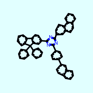 c1ccc(C2(c3ccccc3)c3ccccc3-c3ccc(-c4nc(-c5ccc(-c6ccc7ccccc7c6)cc5)nc(-c5ccc6c(ccc7ccccc76)c5)n4)cc32)cc1